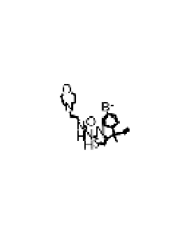 C#CC(C)(c1ccc(Br)cc1)c1csc(NC(=O)NCCN2CCOCC2)n1